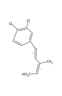 CC(=C/C(=O)O)/C=C/c1ccc(Cl)c(Cl)c1